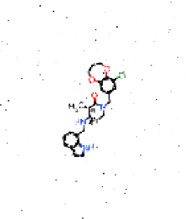 CC(C)CN(Cc1cc(Cl)c2c(c1)OCCCO2)C(=O)[C@H](C)CNCc1cccc2cc[nH]c12